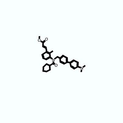 COC(=O)/C=C/c1cccc(N(Cc2ccc(-c3ccc(N(C)C)cc3)cc2)C(=O)C2CCCCC2)c1C